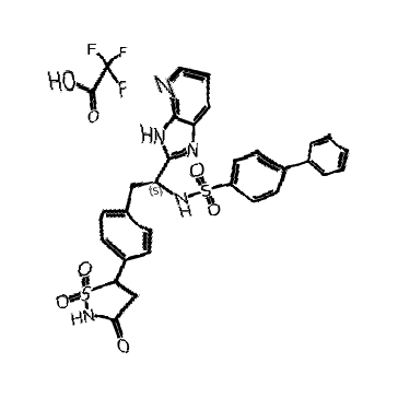 O=C(O)C(F)(F)F.O=C1CC(c2ccc(C[C@H](NS(=O)(=O)c3ccc(-c4ccccc4)cc3)c3nc4cccnc4[nH]3)cc2)S(=O)(=O)N1